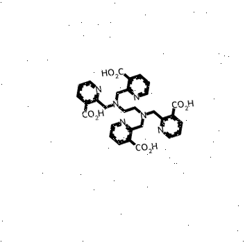 O=C(O)c1cccnc1CN(CCN(Cc1ncccc1C(=O)O)Cc1ncccc1C(=O)O)Cc1ncccc1C(=O)O